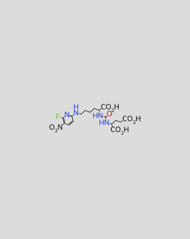 O=C(O)CC[C@H](NC(=O)N[C@@H](CCCCNc1ccc([N+](=O)[O-])c(F)n1)C(=O)O)C(=O)O